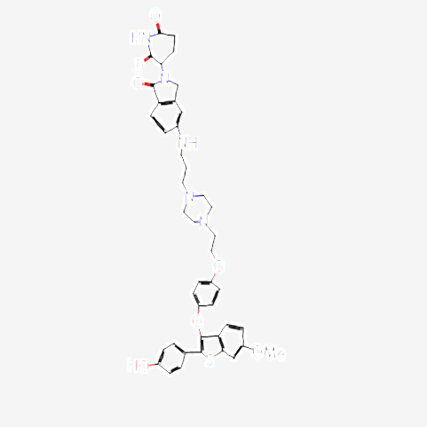 COc1ccc2c(Oc3ccc(OCCN4CCN(CCCNc5ccc6c(c5)CN(C5CCC(=O)NC5=O)C6=O)CC4)cc3)c(-c3ccc(O)cc3)sc2c1